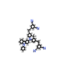 CC1(C)c2cc(C3CC3c3cc(C#N)cc(C#N)c3)ccc2N(c2ccc3c(c2)c2ccccc2n3-c2ccccc2)c2ccc(C3CC3c3cc(C#N)cc(C#N)c3)cc21